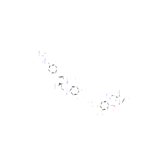 COc1cc2c(cc1OCCCOc1cc3c(cc1OC)C(=O)N1C=C(c4ccc(N5CCN(C)CC5)cc4)C[C@H]1C=N3)N=C[C@@H]1CC(C)=CN1C2=O